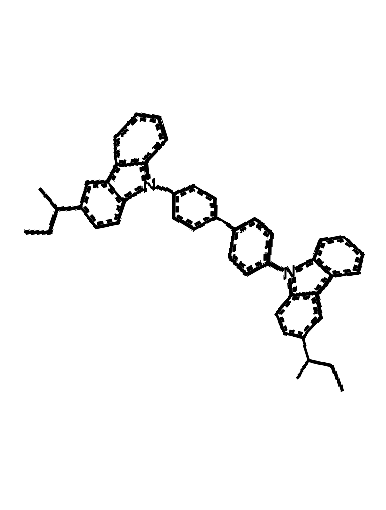 CCC(C)c1ccc2c(c1)c1ccccc1n2-c1ccc(-c2ccc(-n3c4ccccc4c4cc(C(C)CC)ccc43)cc2)cc1